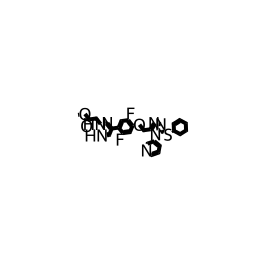 COC(=O)CN/N=C(\C=N)c1cc(F)c(OCc2nnc(S[C@H]3C=CCCC3)n2-c2cccnc2)cc1F